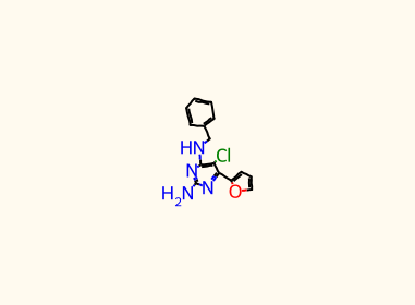 Nc1nc(NCc2ccccc2)c(Cl)c(-c2ccco2)n1